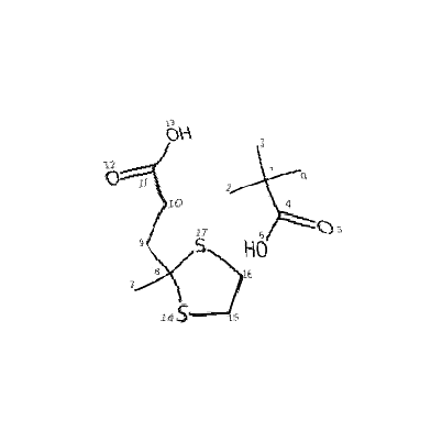 CC(C)(C)C(=O)O.CC1(CCC(=O)O)SCCS1